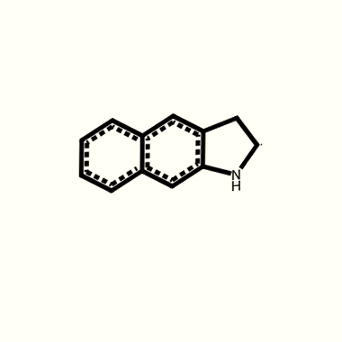 [CH]1Cc2cc3ccccc3cc2N1